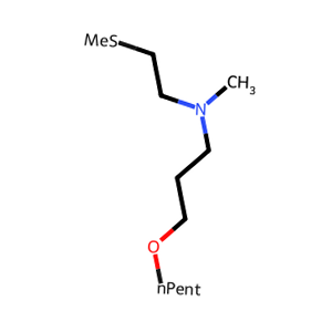 CCCCCOCCCN(C)CCSC